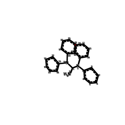 [SiH3]C(N(c1ccccc1)c1ccccc1)N(c1ccccc1)c1ccccc1